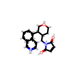 O=C1C=CC(=O)N1CC1CCOCC1c1cccc2cnccc12